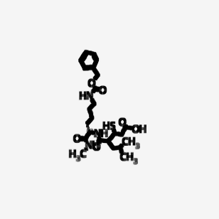 CNC(=O)[C@H](CCCCNC(=O)OCc1ccccc1)NC(=O)C(CC(C)C)C(S)CC(=O)O